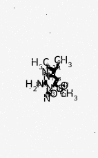 CCc1c(C)nn2c1C=C(S(C)(=O)=O)N(C#N)C2N